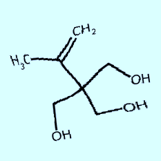 C=C(C)C(CO)(CO)CO